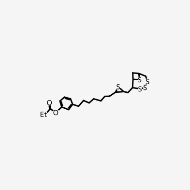 CCC(=O)Oc1cccc(CCCCCCCC2SC2CC2SSSCC3CC2S3)c1